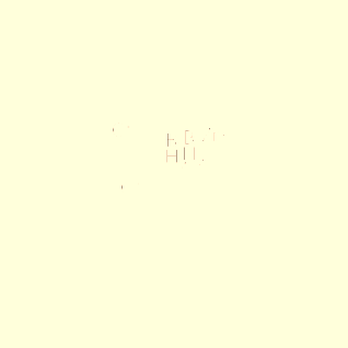 [BH4-].[BH4-].[Zr+2].c1cc[cH-]c1.c1cc[cH-]c1